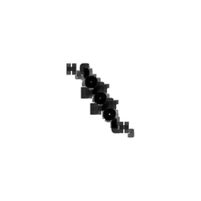 CCC[C@H]1CC[C@H](C(Br)C(Br)[C@H]2CC[C@H](C(Br)C(Br)[C@H]3CC[C@H](CCC)CC3)CC2)CC1